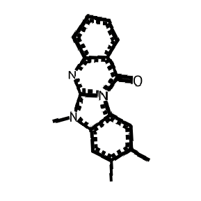 Cc1cc2c(cc1C)n1c(=O)c3ccccc3nc1n2C